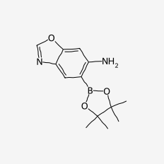 CC1(C)OB(c2cc3ncoc3cc2N)OC1(C)C